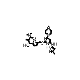 C=C(C(=O)N(C)C)C(O)c1ccc(CSc2nc(Nc3cc(C)n[nH]3)cc(N3CCN(C)CC3)n2)o1